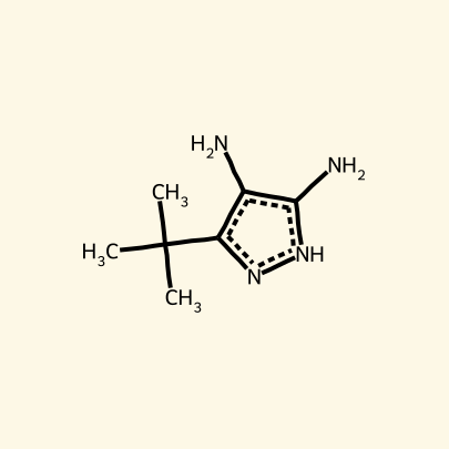 CC(C)(C)c1n[nH]c(N)c1N